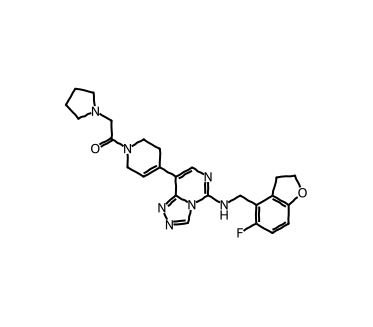 O=C(CN1CCCC1)N1CC=C(c2cnc(NCc3c(F)ccc4c3CCO4)n3cnnc23)CC1